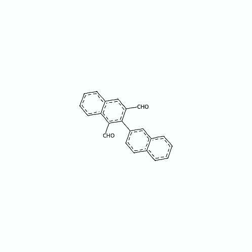 O=Cc1cc2ccccc2c(C=O)c1-c1ccc2ccccc2c1